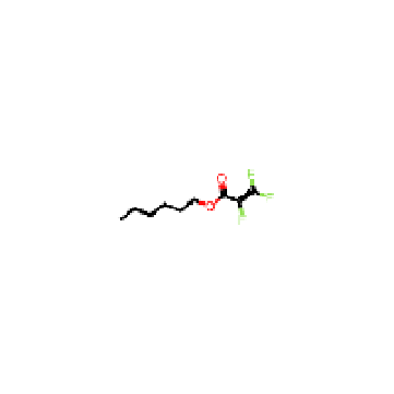 CCCCCCOC(=O)C(F)=C(F)F